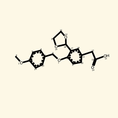 COc1ccc(COc2ccc(CC(=O)O)cc2C2OCCO2)cc1